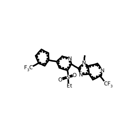 CCS(=O)(=O)c1cc(-c2cccc(C(F)(F)F)c2)cnc1-c1nc2cc(C(F)(F)F)ncc2n1C